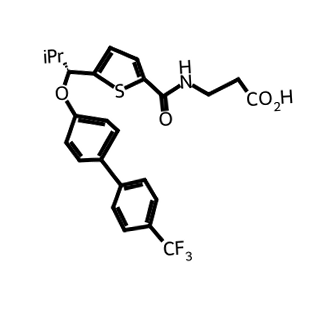 CC(C)[C@@H](Oc1ccc(-c2ccc(C(F)(F)F)cc2)cc1)c1ccc(C(=O)NCCC(=O)O)s1